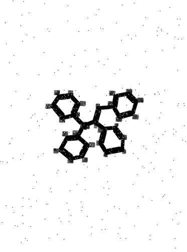 C(=C(c1ccccc1)N(c1ccccc1)c1ccccc1)c1ccccc1